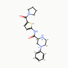 O=C(Nc1ccc(C(=O)N2CCCC2)s1)C1CN(c2ccccc2)CCN1